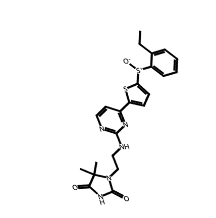 CCc1ccccc1[S+]([O-])c1ccc(-c2ccnc(NCCN3C(=O)NC(=O)C3(C)C)n2)s1